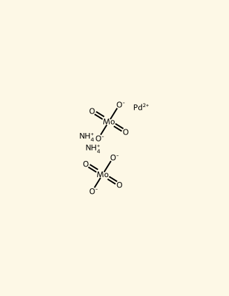 [NH4+].[NH4+].[O]=[Mo](=[O])([O-])[O-].[O]=[Mo](=[O])([O-])[O-].[Pd+2]